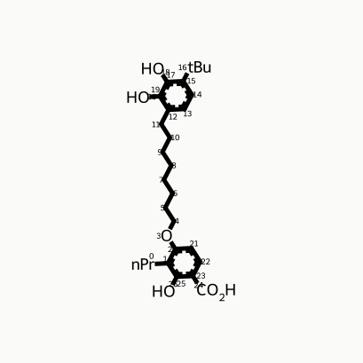 CCCc1c(OCCCCCCCCc2ccc(C(C)(C)C)c(O)c2O)ccc(C(=O)O)c1O